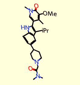 COc1c(C)c(-c2[nH]c3ccc(C4CCN(CC(=O)N(C)C)CC4)cc3c2C(C)C)cn(C)c1=O